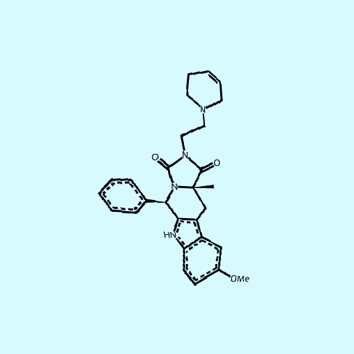 COc1ccc2[nH]c3c(c2c1)C[C@@]1(C)C(=O)N(CCN2CC=CCC2)C(=O)N1[C@@H]3c1ccccc1